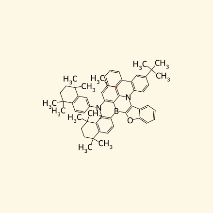 Cc1cc2c3c(c1)N(c1ccc(C(C)(C)C)cc1-c1ccccc1)c1c(oc4ccccc14)B3c1ccc3c(c1N2c1ccc2c(c1)C(C)(C)CCC2(C)C)C(C)(C)CCC3(C)C